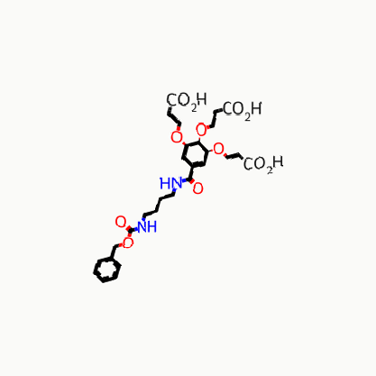 O=C(O)CCO[C@@H]1[C@H](OCCC(=O)O)C=C(C(=O)NCCCCNC(=O)OCc2ccccc2)C[C@H]1OCCC(=O)O